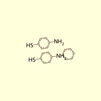 Nc1ccc(S)cc1.Nc1ccc(S)cc1.c1ccccc1